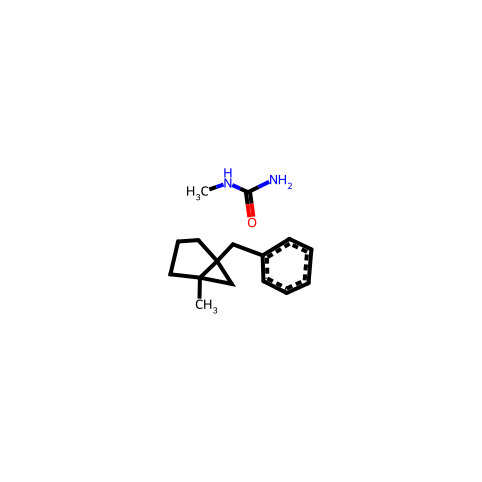 CC12CCCC1(Cc1ccccc1)C2.CNC(N)=O